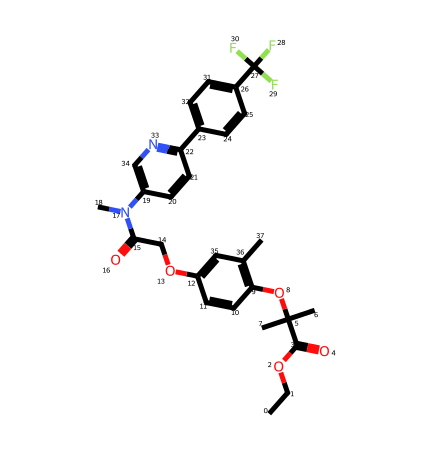 CCOC(=O)C(C)(C)Oc1ccc(OCC(=O)N(C)c2ccc(-c3ccc(C(F)(F)F)cc3)nc2)cc1C